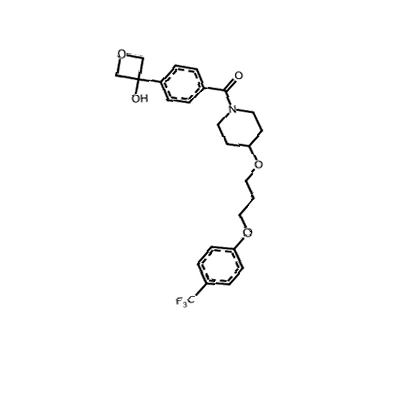 O=C(c1ccc(C2(O)COC2)cc1)N1CCC(OCCCOc2ccc(C(F)(F)F)cc2)CC1